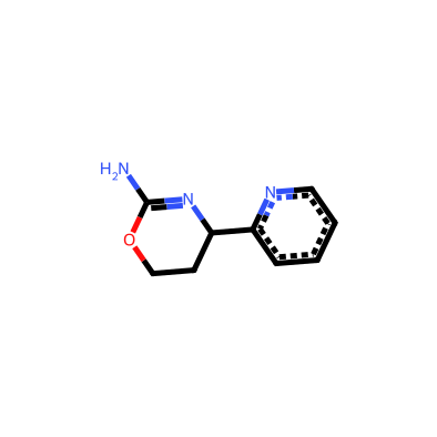 NC1=NC(c2ccccn2)CCO1